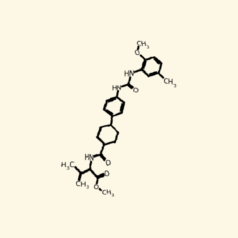 COC(=O)C(NC(=O)C1CCC(c2ccc(NC(=O)Nc3cc(C)ccc3OC)cc2)CC1)C(C)C